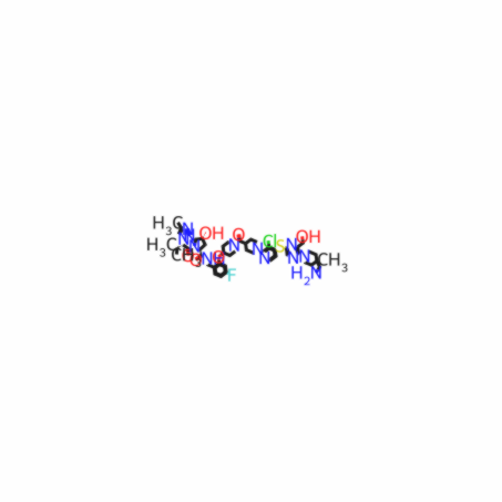 Cc1cn([C@H](C(=O)N2C[C@H](O)C[C@H]2C(=O)NCc2ccc(F)cc2OC2CCN(C(=O)C3CCN(c4nccc(Sc5cnc(N6CCC(C)(CN)CC6)c(CO)n5)c4Cl)CC3)CC2)C(C)C)nn1